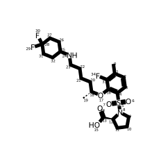 Cc1ccc(S(=O)(=O)N2CCC[C@H]2C(=O)O)c(O[C@H](C)CCCCNC2CCC(F)(F)CC2)c1F